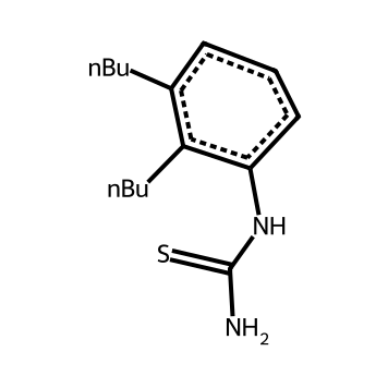 CCCCc1cccc(NC(N)=S)c1CCCC